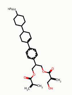 C=C(C)C(=O)OCC(COC(=O)C(=C)CO)c1ccc(C2=CCC(C3CCC(CCCCC)CC3)CC2)cc1